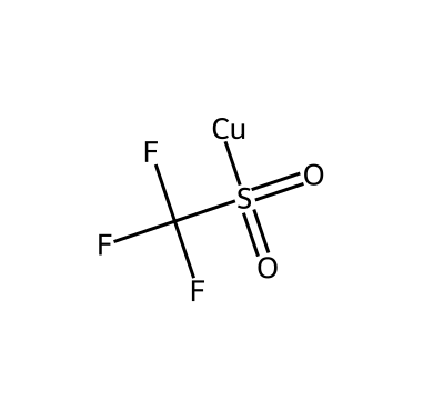 O=[S](=O)([Cu])C(F)(F)F